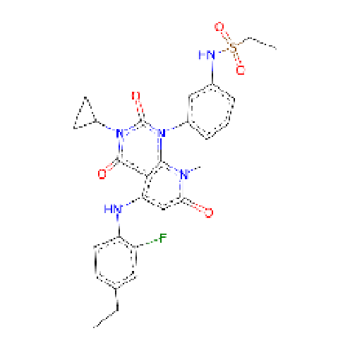 CCc1ccc(Nc2cc(=O)n(C)c3c2c(=O)n(C2CC2)c(=O)n3-c2cccc(NS(=O)(=O)CC)c2)c(F)c1